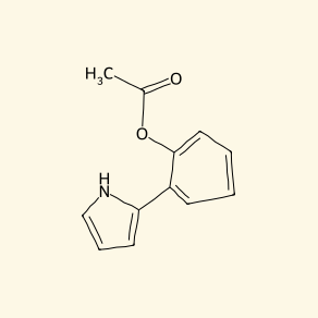 CC(=O)Oc1ccccc1-c1ccc[nH]1